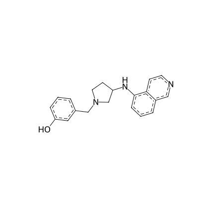 Oc1cccc(CN2CCC(Nc3cccc4cnccc34)C2)c1